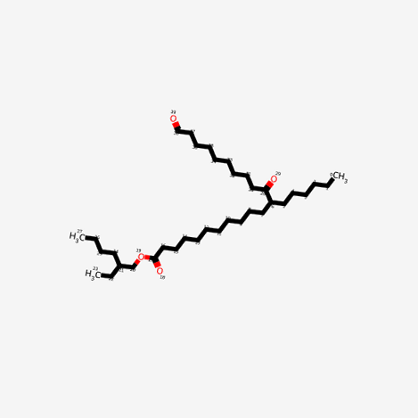 CCCCCCC(CCCCCCCCCCC(=O)OCC(CC)CCCC)C(=O)CCCCCCCCC=O